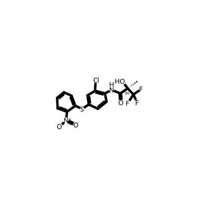 C[C@@](O)(C(=O)Nc1ccc(Sc2ccccc2[N+](=O)[O-])cc1Cl)C(F)(F)F